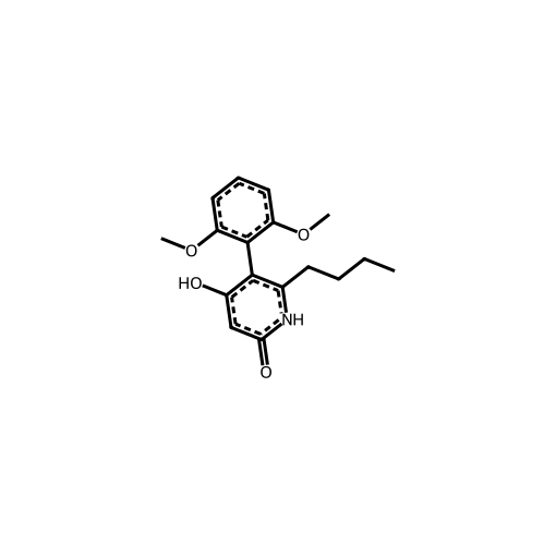 CCCCc1[nH]c(=O)cc(O)c1-c1c(OC)cccc1OC